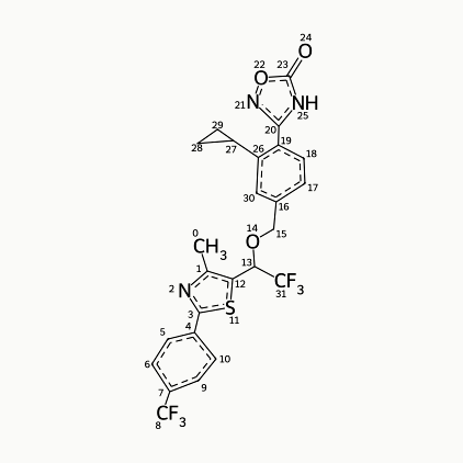 Cc1nc(-c2ccc(C(F)(F)F)cc2)sc1C(OCc1ccc(-c2noc(=O)[nH]2)c(C2CC2)c1)C(F)(F)F